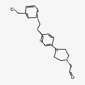 O=CCN1CCN(c2ccc(CCc3cccc(CCl)c3)nc2)CC1